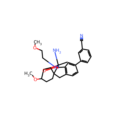 COCCN1C(=O)C2(N=C1N)c1cc(-c3cccc(C#N)c3)ccc1CC21CCC(OC)CC1